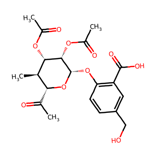 CC(=O)O[C@@H]1[C@H](Oc2ccc(CO)cc2C(=O)O)O[C@H](C(C)=O)[C@@H](C)[C@@H]1OC(C)=O